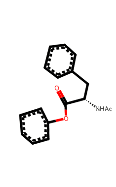 CC(=O)N[C@@H](Cc1ccccc1)C(=O)Oc1ccccc1